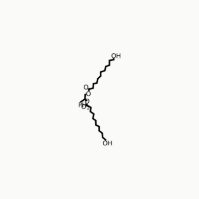 O=C(CCCCCCCCCCCO)OCC(CP)OC(=O)CCCCCCCCCCCO